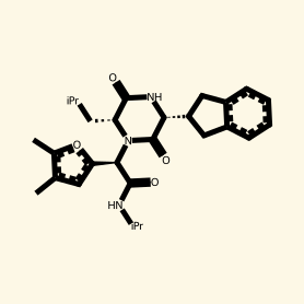 Cc1cc([C@H](C(=O)NC(C)C)N2C(=O)[C@@H](C3Cc4ccccc4C3)NC(=O)[C@H]2CC(C)C)oc1C